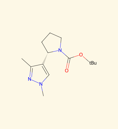 Cc1nn(C)cc1[C@@H]1CCCN1C(=O)OC(C)(C)C